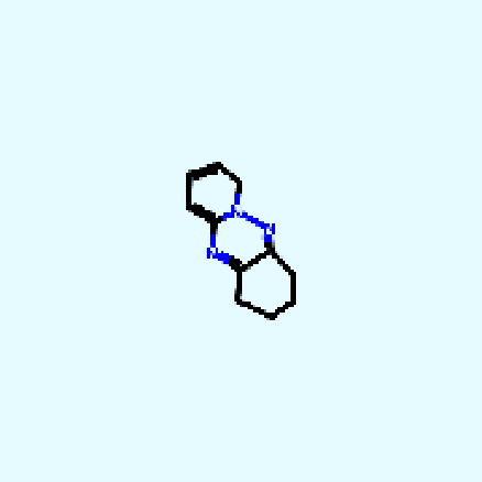 C1=CCN2N=C3CCCCC3=NC2=C1